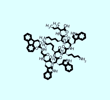 CC[C@H](C)[C@H](NC(=O)[C@H](CCCCN)NC(=O)[C@H](Cc1c[nH]c2ccccc12)NC(=O)[C@H](CCCCN)NC(=O)[C@H](CCCCN)NC(=O)[C@H](Cc1c[nH]c2ccccc12)NC(=O)[C@H](Cc1c[nH]c2ccccc12)NC(=O)CNC(=O)OCC1c2ccccc2-c2ccccc21)C(=O)O